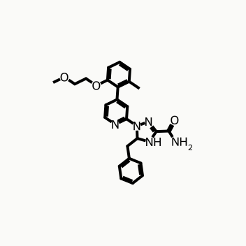 COCCOc1cccc(C)c1-c1ccnc(N2N=C(C(N)=O)NC2Cc2ccccc2)c1